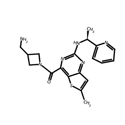 Cc1cc2nc(N[C@@H](C)c3ccccn3)nc(C(=O)N3CC(CN)C3)c2s1